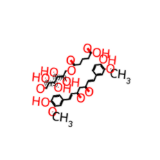 COc1cc(C=CC(=O)CC(=O)C=Cc2ccc(O)c(OC)c2)ccc1O.O=C[C@H](O)[C@@H](O)[C@H](O)[C@H](O)COC(=O)CCCC(=O)O